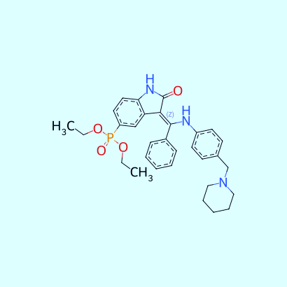 CCOP(=O)(OCC)c1ccc2c(c1)/C(=C(/Nc1ccc(CN3CCCCC3)cc1)c1ccccc1)C(=O)N2